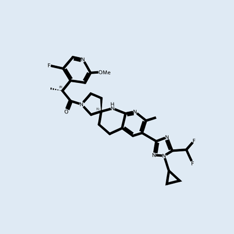 COc1cc([C@@H](C)C(=O)N2CC[C@@]3(CCc4cc(-c5nc(C(F)F)n(C6CC6)n5)c(C)nc4N3)C2)c(F)cn1